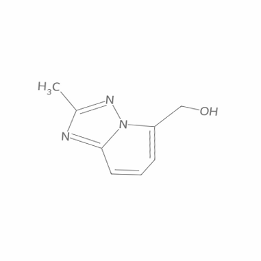 Cc1nc2cccc(CO)n2n1